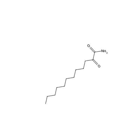 CCCCCCCCCCC(=O)C(N)=O